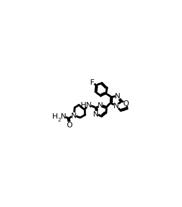 NC(=O)N1CCC(Nc2nccc(-c3c(-c4ccc(F)cc4)nc4occn34)n2)CC1